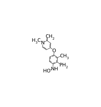 C=C1C=C(Oc2ccc(NO)c(P)c2C)C=CN1C